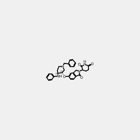 O=C1CCC(N2Cc3cc(O[C@H]4CN(Cc5ccccc5)CC[C@@H]4Nc4ccccc4)ccc3C2=O)C(=O)N1